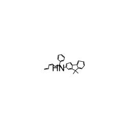 C=C/C=C\C=C(\Nc1ccc2c(c1)C(C)(C)c1ccccc1-2)c1ccccc1